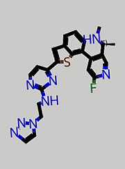 CN[C@@H](C)c1cnc(F)cc1-c1cccc2cc(-c3ccnc(NCCn4ccnn4)n3)sc12